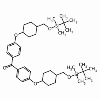 CC(C)(C)[Si](C)(C)OCC1CCC(Oc2ccc(C(=O)c3ccc(OC4CCC(CO[Si](C)(C)C(C)(C)C)CC4)cc3)cc2)CC1